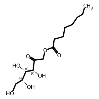 CCCCCCCC(=O)OCC(=O)[C@H](O)[C@@H](O)[C@H](O)CO